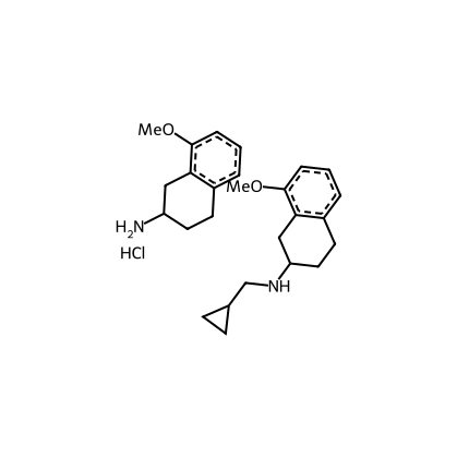 COc1cccc2c1CC(N)CC2.COc1cccc2c1CC(NCC1CC1)CC2.Cl